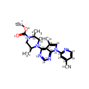 CC1CN(C(=O)OC(C)(C)C)[C@@H](C)CN1c1ncnc2c1c(C=O)cn2-c1cc(C#N)ccn1